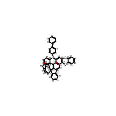 c1ccc(-c2ccc(N(c3ccc4c(c3)Oc3ccccc3O4)c3ccccc3-c3cccc4c3C3(c5ccccc5-4)C4CC5CC(C4)CC3C5)cc2)cc1